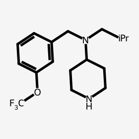 CC(C)CN(Cc1cccc(OC(F)(F)F)c1)C1CCNCC1